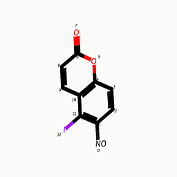 O=Nc1ccc2oc(=O)ccc2c1I